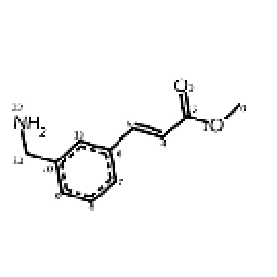 COC(=O)C=Cc1cccc(CN)c1